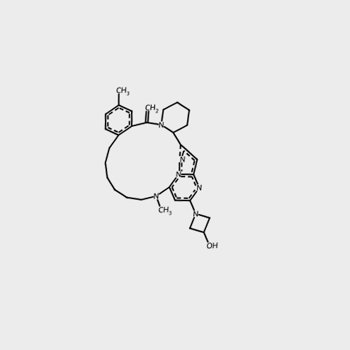 C=C1c2cc(C)ccc2CCCCCCN(C)c2cc(N3CC(O)C3)nc3cc(nn23)C2CCCCN12